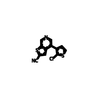 N#Cc1cc2c(-c3ccsc3Cl)cncc2s1